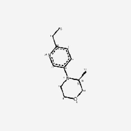 CCc1ccc(N2CCOC[C@@H]2C)cn1